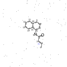 C/C=C/C(=O)[N]c1cccc2ccccc12